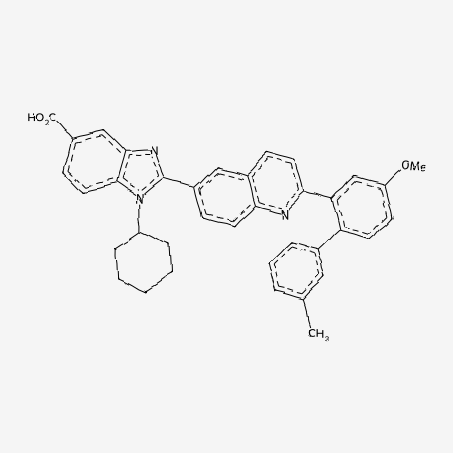 COc1ccc(-c2cccc(C)c2)c(-c2ccc3cc(-c4nc5cc(C(=O)O)ccc5n4C4CCCCC4)ccc3n2)c1